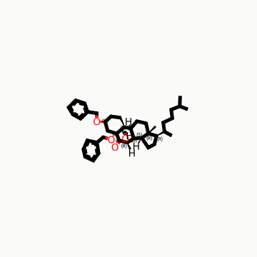 CC(C)CCCC(C)[C@H]1CC[C@H]2[C@@H]3[C@H]4OC[C@@]5(CC[C@H](OCc6ccccc6)C[C@]5(OCc5ccccc5)C4=O)[C@H]3CC[C@]12C